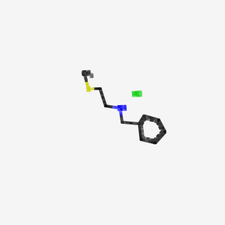 CSCCNCc1ccccc1.Cl